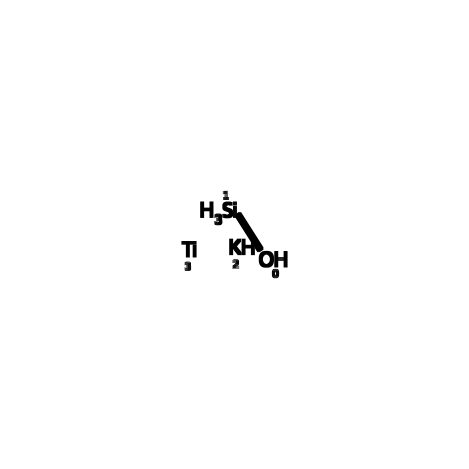 O[SiH3].[KH].[Ti]